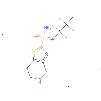 CC(C)(C)[Si](C)(C)N=S(N)(=O)c1cc2c(s1)CCNC2